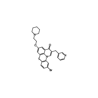 O=c1c(Cc2cccnc2)cn2c3c(cc(OCCN4CCCCC4)cc13)Sc1ccc(Br)cc1-2